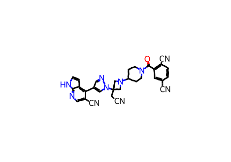 N#CCC1(n2cc(-c3c(C#N)cnc4[nH]ccc34)cn2)CN(C2CCN(C(=O)c3cc(C#N)ccc3C#N)CC2)C1